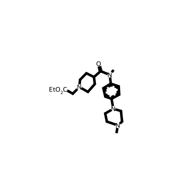 CCOC(=O)CN1CCC(C(=O)N(C)c2ccc(N3CCN(C)CC3)cc2)CC1